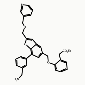 CCOC(=O)Cc1ccccc1OCc1cc(-c2cccc(CN)c2)c2oc(COCc3cccnc3)cc2c1